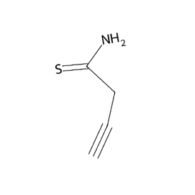 C#CCC(N)=S